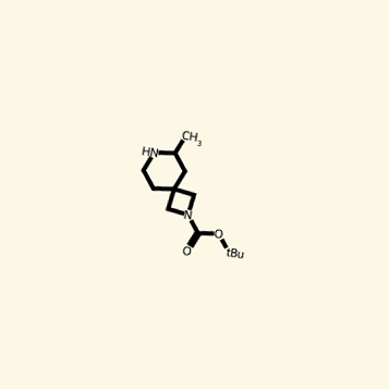 CC1CC2(CCN1)CN(C(=O)OC(C)(C)C)C2